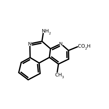 Cc1cc(C(=O)O)nc2c(N)nc3ccccc3c12